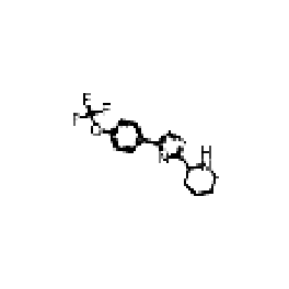 FC(F)(F)Oc1ccc(-c2csc(C3CCCCN3)n2)cc1